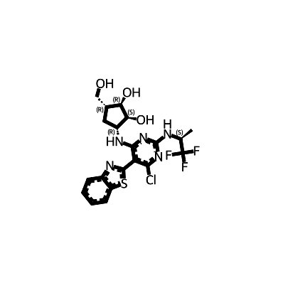 C[C@H](Nc1nc(Cl)c(-c2nc3ccccc3s2)c(N[C@@H]2C[C@H](CO)[C@@H](O)[C@H]2O)n1)C(F)(F)F